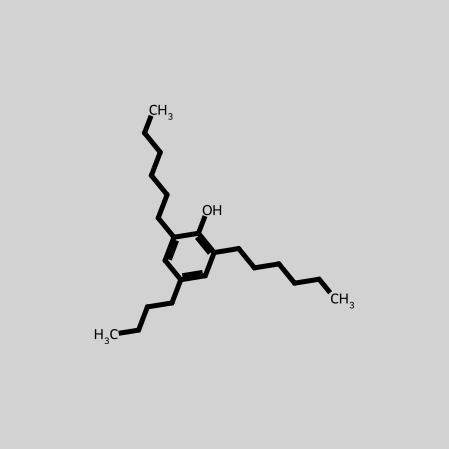 CCCCCCc1cc(CCCC)cc(CCCCCC)c1O